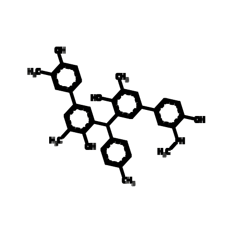 CPc1cc(-c2cc(C)c(O)c(C(c3ccc(C)cc3)c3cc(-c4ccc(O)c(C)c4)cc(C)c3O)c2)ccc1O